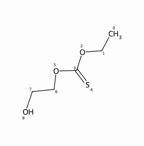 CCOC(=S)OCCO